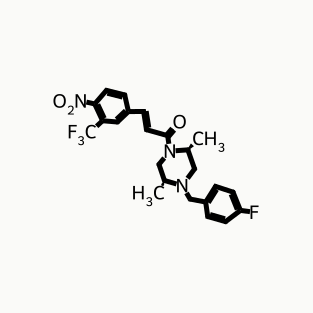 C[C@@H]1CN(C(=O)C=Cc2ccc([N+](=O)[O-])c(C(F)(F)F)c2)[C@@H](C)CN1Cc1ccc(F)cc1